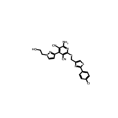 [C-]#[N+]c1c(N)nc(SCc2csc(-c3ccc(Cl)cc3)n2)c(C#N)c1-c1ccn(CCO)n1